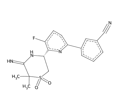 CC1(C)C(=N)N[C@H](c2nc(-c3cccc(C#N)c3)ccc2F)CS1(=O)=O